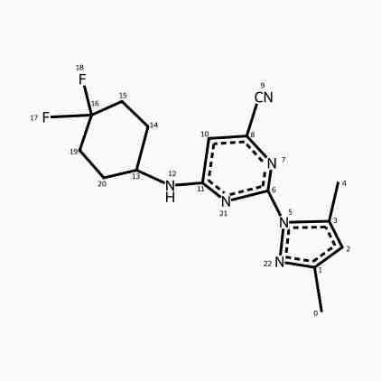 Cc1cc(C)n(-c2nc(C#N)cc(NC3CCC(F)(F)CC3)n2)n1